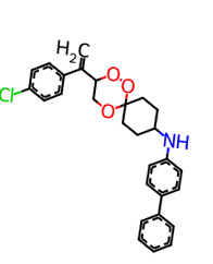 C=C(c1ccc(Cl)cc1)C1COC2(CCC(Nc3ccc(-c4ccccc4)cc3)CC2)OO1